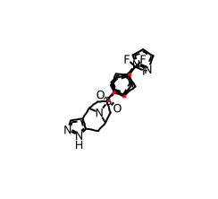 O=S(=O)(c1ccc(C(F)(F)F)cc1)N1C2Cc3[nH]ncc3C1CC(c1ccc(-n3cccn3)cc1)C2